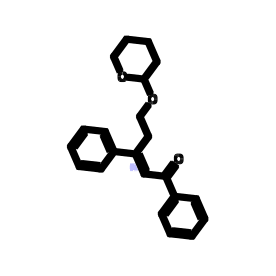 O=C(/C=C(\CCOC1CCCCO1)c1ccccc1)c1ccccc1